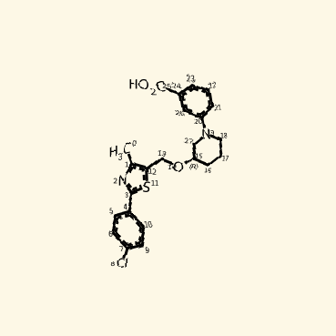 Cc1nc(-c2ccc(Cl)cc2)sc1CO[C@@H]1CCCN(c2cccc(C(=O)O)c2)C1